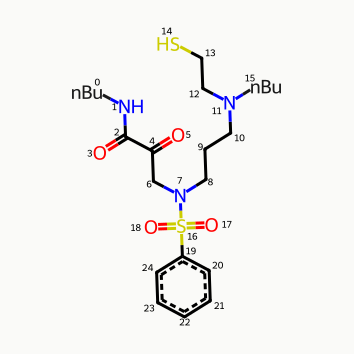 CCCCNC(=O)C(=O)CN(CCCN(CCS)CCCC)S(=O)(=O)c1ccccc1